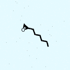 CCCCCCC1=[C]O1